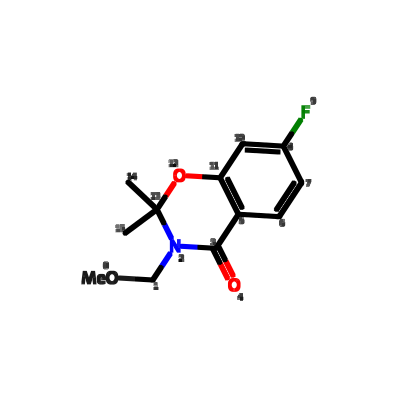 COCN1C(=O)c2ccc(F)cc2OC1(C)C